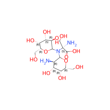 N[C@H]1C(N(C2O[C@H](CO)[C@H](O)[C@H](O)[C@H]2O)[C@@](N)(CO)C(=O)O)O[C@H](CO)[C@H](O)[C@@H]1O